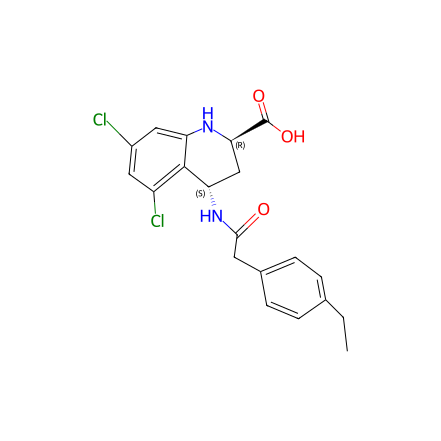 CCc1ccc(CC(=O)N[C@H]2C[C@H](C(=O)O)Nc3cc(Cl)cc(Cl)c32)cc1